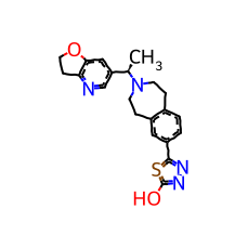 C[C@H](c1cnc2c(c1)OCC2)N1CCc2ccc(-c3nnc(O)s3)cc2CC1